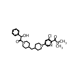 CN(C)C(=O)c1ncc(N2CCC(CC3CCN(C(=O)C(O)c4ccccc4)CC3)CC2)cc1Cl